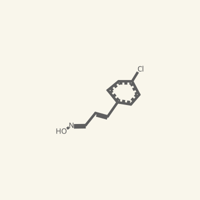 ON=CC=Cc1ccc(Cl)cc1